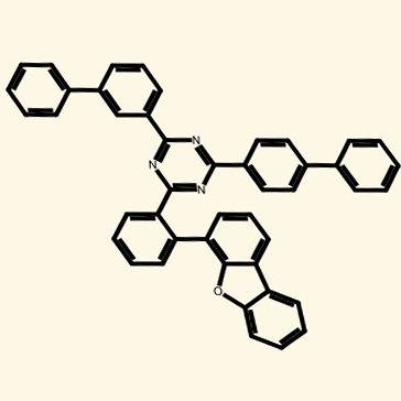 c1ccc(-c2ccc(-c3nc(-c4cccc(-c5ccccc5)c4)nc(-c4ccccc4-c4cccc5c4oc4ccccc45)n3)cc2)cc1